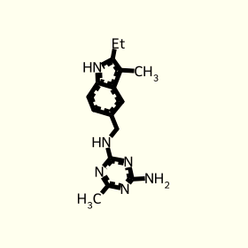 CCc1[nH]c2ccc(CNc3nc(C)nc(N)n3)cc2c1C